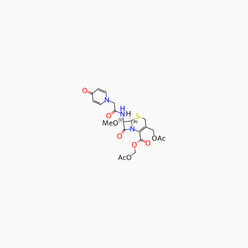 CO[C@@]1(NC(=O)Cn2ccc(=O)cc2)C(=O)N2C(C(=O)OCOC(C)=O)=C(COC(C)=O)CS[C@@H]21